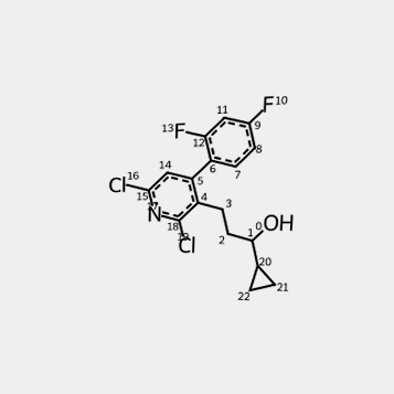 OC(CCc1c(-c2ccc(F)cc2F)cc(Cl)nc1Cl)C1CC1